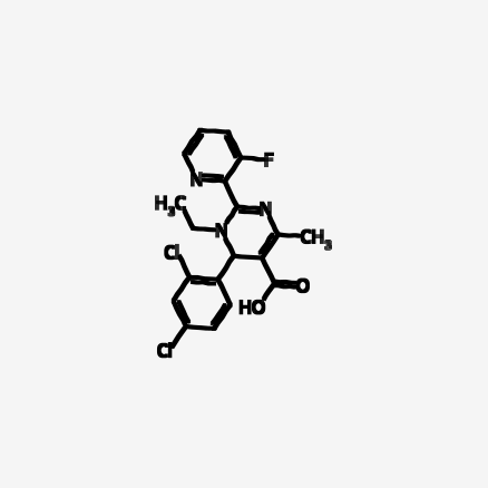 CCN1C(c2ncccc2F)=NC(C)=C(C(=O)O)C1c1ccc(Cl)cc1Cl